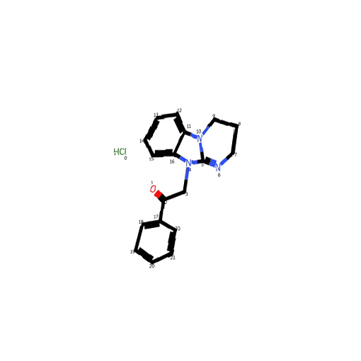 Cl.O=C(CN1C2=NCCCN2c2ccccc21)c1ccccc1